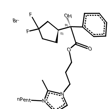 CCCCC[n+]1ccn(CCCOC(=O)[C@](O)(c2ccccc2)[C@H]2CCC(F)(F)C2)c1C.[Br-]